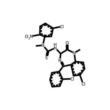 CN1C(=O)C(NC(=S)N(C)c2cc(Cl)ccc2[N+](=O)[O-])N=C(c2ccccc2Cl)c2cc(Cl)ccc21